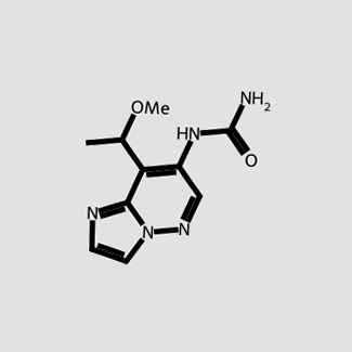 COC(C)c1c(NC(N)=O)cnn2ccnc12